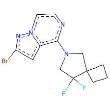 FC1(F)CN(c2nccn3nc(Br)cc23)CC12CCC2